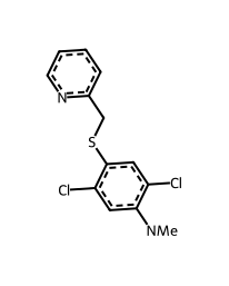 CNc1cc(Cl)c(SCc2ccccn2)cc1Cl